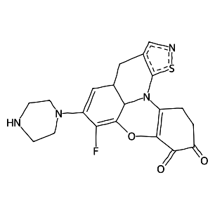 O=C1CCC2=C(OC3=C(F)C(N4CCNCC4)=CC4Cc5cnsc5N2C34)C1=O